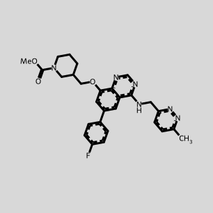 COC(=O)N1CCCC(COc2cc(-c3ccc(F)cc3)cc3c(NCc4ccc(C)nn4)ncnc23)C1